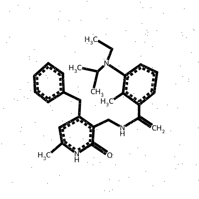 C=C(NCc1c(Cc2ccccc2)cc(C)[nH]c1=O)c1cccc(N(CC)C(C)C)c1C